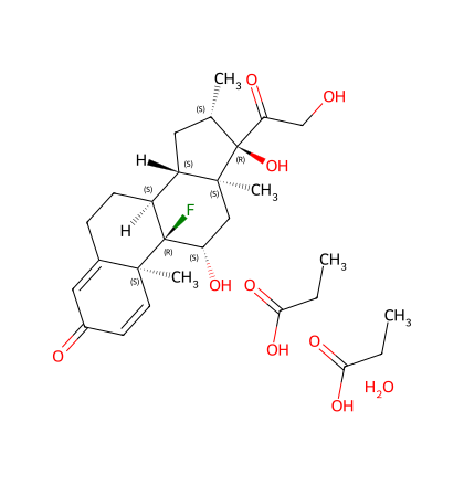 CCC(=O)O.CCC(=O)O.C[C@H]1C[C@H]2[C@@H]3CCC4=CC(=O)C=C[C@]4(C)[C@@]3(F)[C@@H](O)C[C@]2(C)[C@@]1(O)C(=O)CO.O